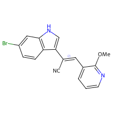 COc1ncccc1/C=C(\C#N)c1c[nH]c2cc(Br)ccc12